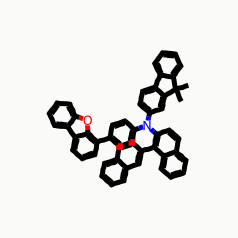 CC1(C)c2ccccc2-c2ccc(N(c3ccc(-c4cccc5c4oc4ccccc45)cc3)c3ccc4ccccc4c3-c3ccc4ccccc4c3)cc21